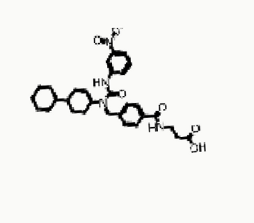 O=C(O)CCNC(=O)c1ccc(CN(C(=O)Nc2cccc([N+](=O)[O-])c2)C2CCC(C3CCCCC3)CC2)cc1